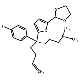 C=CCO[C@@](CCCN(C)C)(c1ccc(F)cc1)c1ccc(C2OCCO2)o1